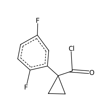 O=C(Cl)C1(c2cc(F)ccc2F)CC1